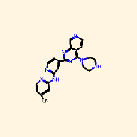 N#Cc1ccnc(Nc2cc(-c3nc(N4CCNCC4)c4ccncc4n3)ccn2)c1